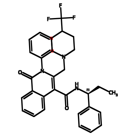 CC[C@H](NC(=O)c1c(CN2CCC(C(F)(F)F)CC2)n(-c2ccccc2)c(=O)c2ccccc12)c1ccccc1